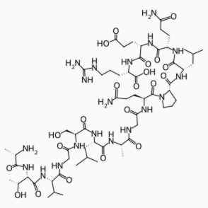 CC(C)C[C@H](NC(=O)[C@H](CO)NC(=O)CNC(=O)[C@@H](NC(=O)[C@@H](NC(=O)[C@H](C)N)[C@@H](C)O)C(C)C)C(=O)N[C@@H](C)C(=O)NCC(=O)N[C@@H](CCC(N)=O)C(=O)N1CCC[C@H]1C(=O)N[C@@H](CC(C)C)C(=O)N[C@@H](CCC(N)=O)C(=O)N[C@@H](CCC(=O)O)C(=O)N[C@@H](CCCNC(=N)N)C(=O)O